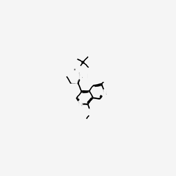 CC[C@@H](N[S+]([O-])C(C)(C)C)c1cnc(OC)c2cnc(Cl)cc12